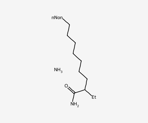 CCCCCCCCCCCCCCCCC(CC)C(N)=O.N